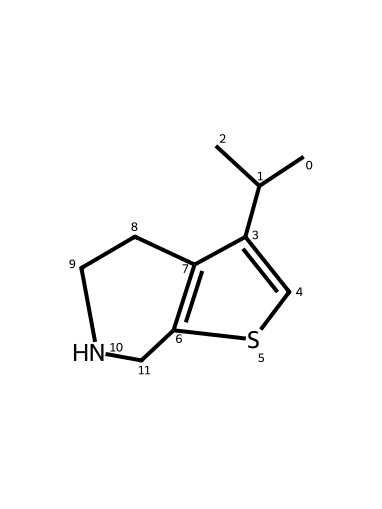 CC(C)c1csc2c1CCNC2